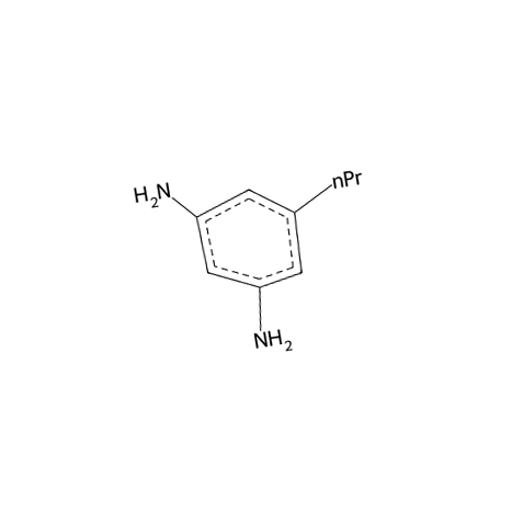 CCCc1cc(N)cc(N)c1